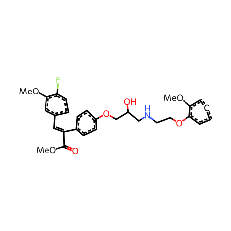 COC(=O)/C(=C/c1ccc(F)c(OC)c1)c1ccc(OCC(O)CNCCOc2ccccc2OC)cc1